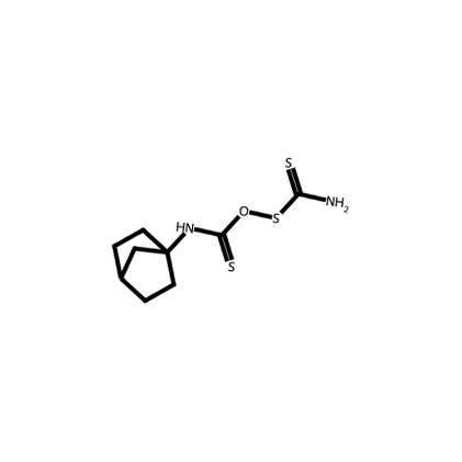 NC(=S)SOC(=S)NC12CCC(CC1)C2